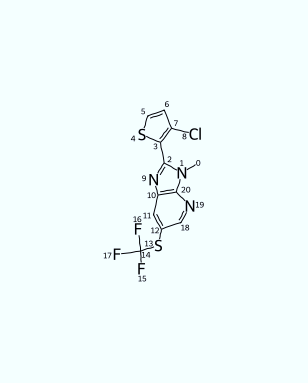 Cn1c(-c2sccc2Cl)nc2cc(SC(F)(F)F)cnc21